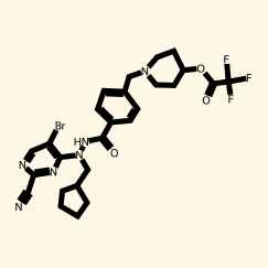 N#Cc1ncc(Br)c(N(CC2CCCC2)NC(=O)c2ccc(CN3CCC(OC(=O)C(F)(F)F)CC3)cc2)n1